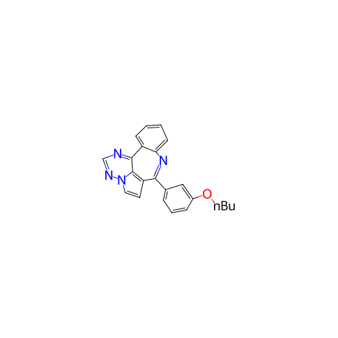 CCCCOc1cccc(C2=Nc3ccccc3-c3ncnn4ccc2c34)c1